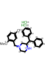 COc1ccc(C(F)(F)F)cc1CN1CCNC(C(c2ccccc2)c2ccccc2)C1.Cl.Cl